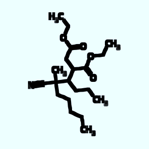 CCCCCC(C)(C#N)C(CCC)C(CC(=O)OCC)C(=O)OCC